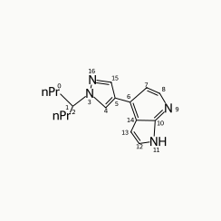 CCCC(CCC)n1cc(-c2ccnc3[nH]ccc23)cn1